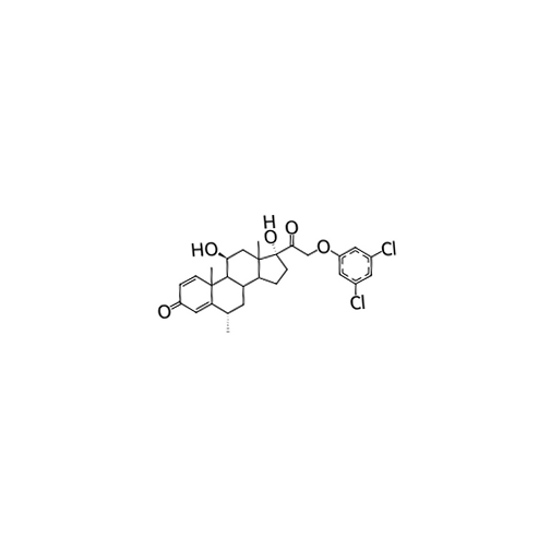 C[C@H]1CC2C([C@@H](O)CC3(C)C2CC[C@]3(O)C(=O)COc2cc(Cl)cc(Cl)c2)C2(C)C=CC(=O)C=C12